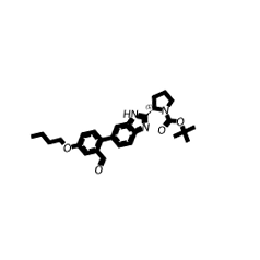 CCCCOc1ccc(-c2ccc3nc([C@@H]4CCCN4C(=O)OC(C)(C)C)[nH]c3c2)c(C=O)c1